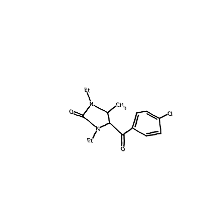 CCN1C(=O)N(CC)C(C(=O)c2ccc(Cl)cc2)C1C